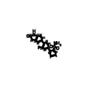 NS(=O)(=O)c1ccccc1-c1ccc(-c2ccc3c(c2)CC(=O)N3)c(F)c1